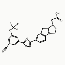 N#Cc1cc(OC(F)(F)F)cc(-c2nc(-c3ccc4c(c3)cc3n4CC[C@@H]3CC(=O)O)no2)c1